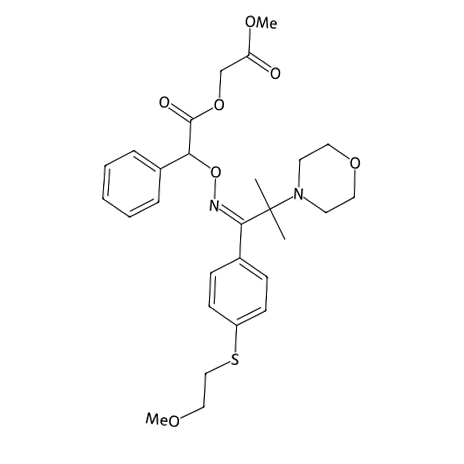 COCCSc1ccc(C(=NOC(C(=O)OCC(=O)OC)c2ccccc2)C(C)(C)N2CCOCC2)cc1